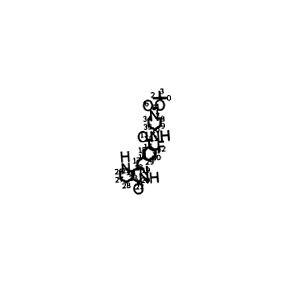 CC(C)(C)OC(=O)N1CCC(NC(=O)c2cc(Cc3n[nH]c(=O)c4c3NCCC4)ccc2F)CC1